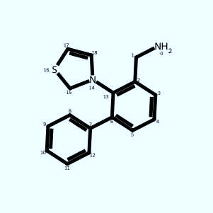 NCc1cccc(-c2ccccc2)c1N1[CH]SC=C1